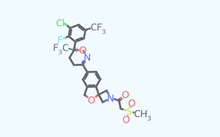 CS(=O)(=O)CC(=O)N1CC2(C1)OCc1cc(C3=NO[C@](c4cc(C(F)(F)F)cc(Cl)c4F)(C(F)(F)F)CC3)ccc12